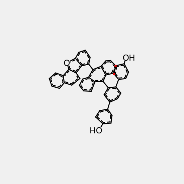 Oc1ccc(-c2ccc(-c3ccc(O)cc3)c(-c3c4ccccc4c(-c4cccc5oc6c7ccccc7ccc6c45)c4ccccc34)c2)cc1